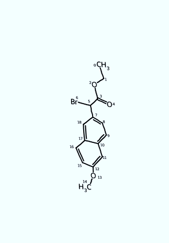 CCOC(=O)C(Br)c1ccc2cc(OC)ccc2c1